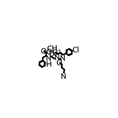 COC(=O)C(Cc1ccccc1)NC(=O)Cn1c(OCCCC#N)nc(-c2ccc(Cl)cc2)cc1=O